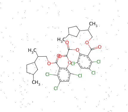 CC1CCC(C(C)COC(=O)c2c(Cl)c(Cl)cc(Cl)c2OC(=O)C(=O)Oc2c(Cl)cc(Cl)c(Cl)c2C(=O)OCC(C)C2CCC(C)C2)C1